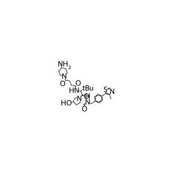 Cc1ncsc1-c1ccc(CNC(=O)[C@@H]2C[C@@H](O)CN2C(=O)C(NC(=O)CCC(=O)N2CCC(N)CC2)C(C)(C)C)cc1